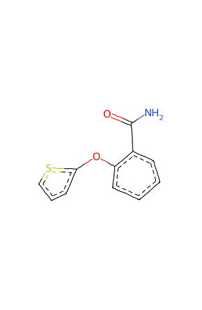 NC(=O)c1ccccc1Oc1cccs1